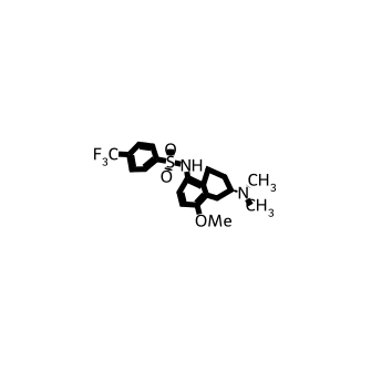 COc1ccc(NS(=O)(=O)c2ccc(C(F)(F)F)cc2)c2c1C[C@@H](N(C)C)CC2